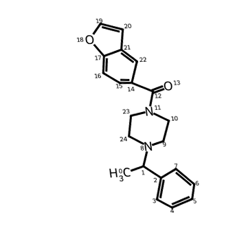 CC(c1ccccc1)N1CCN(C(=O)c2ccc3occc3c2)CC1